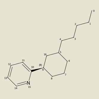 CCCCCC1CCC[C@@H](c2ccccn2)C1